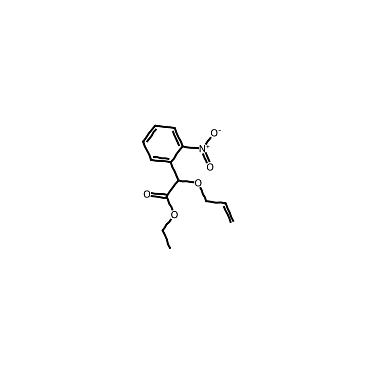 C=CCOC(C(=O)OCC)c1ccccc1[N+](=O)[O-]